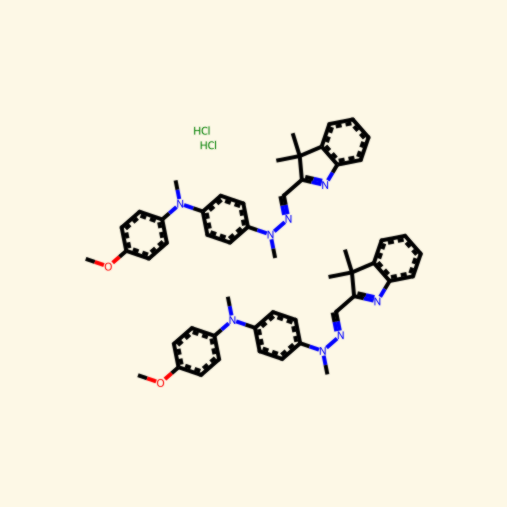 COc1ccc(N(C)c2ccc(N(C)N=CC3=Nc4ccccc4C3(C)C)cc2)cc1.COc1ccc(N(C)c2ccc(N(C)N=CC3=Nc4ccccc4C3(C)C)cc2)cc1.Cl.Cl